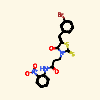 O=C(CCN1C(=O)/C(=C/c2cccc(Br)c2)SC1=S)Nc1ccccc1[N+](=O)[O-]